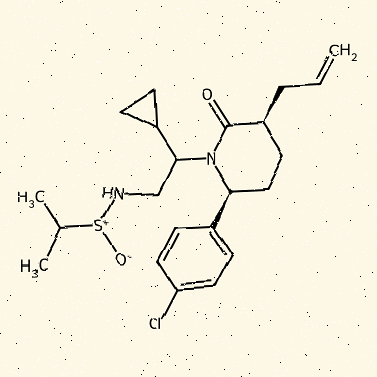 C=CC[C@H]1CC[C@@H](c2ccc(Cl)cc2)N(C(CN[S+]([O-])C(C)C)C2CC2)C1=O